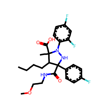 CCCCC1C(C(=O)NCCOC)(c2ccc(F)cc2)NN(c2ccc(F)cc2F)C1(C)C(=O)O